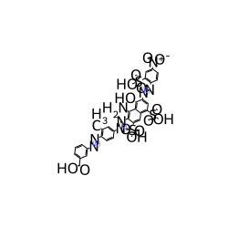 Cc1cc(/N=N/c2c(S(=O)(=O)O)cc3c(S(=O)(=O)O)cc(/N=N/c4ccc([N+](=O)[O-])cc4S(=O)(=O)O)c(O)c3c2N)ccc1/N=N/c1cccc(C(=O)O)c1